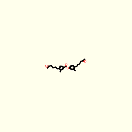 Cc1cc(OC(=O)c2ccc(CCCCC3CO3)c(C)c2)ccc1CCCCC1CO1